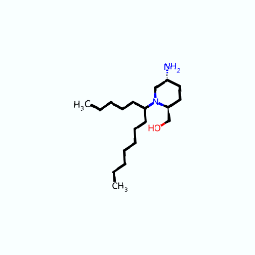 CCCCCCCC(CCCCC)N1C[C@H](N)CC[C@H]1CO